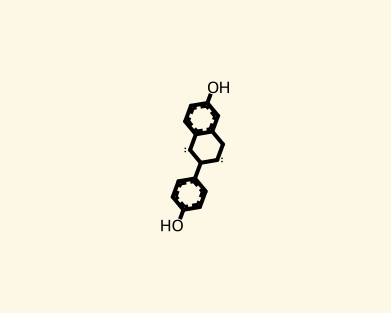 Oc1ccc(C2[C]Cc3cc(O)ccc3[C]2)cc1